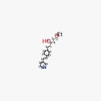 CCOCCCC(O)/C=C/c1ccc(CCc2cccnc2)cc1